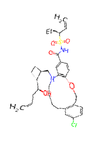 C=CC[C@H](O)[C@@H]1CC[C@H]1CN1CCCCc2cc(Cl)ccc2COc2ccc(C(=O)NS(=O)(=O)[C@H](C=C)CC)cc21